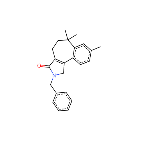 Cc1ccc2c(c1)C(C)(C)CCC1=C2CN(Cc2ccccc2)C1=O